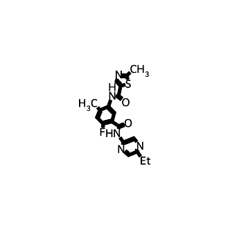 CCc1cnc(NC(=O)c2cc(NC(=O)c3cnc(C)s3)c(C)cc2F)cn1